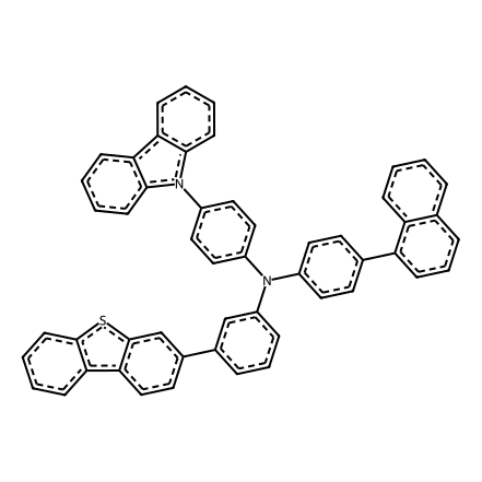 c1cc(-c2ccc3c(c2)sc2ccccc23)cc(N(c2ccc(-c3cccc4ccccc34)cc2)c2ccc(-n3c4ccccc4c4ccccc43)cc2)c1